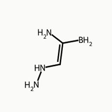 B/C(N)=C/NN